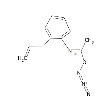 C=CCc1ccccc1/N=C(\C)ON=[N+]=[N-]